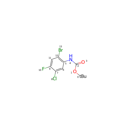 CC(C)(C)OC(=O)Nc1cc(Cl)c(F)cc1Br